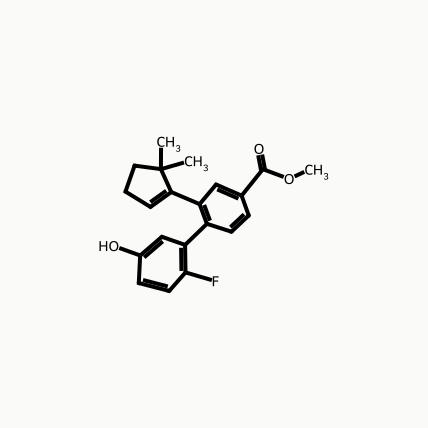 COC(=O)c1ccc(-c2cc(O)ccc2F)c(C2=CCCC2(C)C)c1